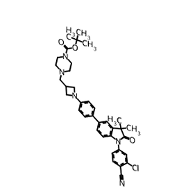 CC(C)(C)OC(=O)N1CCN(CC2CN(c3ccc(-c4ccc5c(c4)C(C)(C)C(=O)N5c4ccc(C#N)c(Cl)c4)cc3)C2)CC1